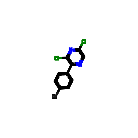 CCc1ccc(-c2ncc(Cl)nc2Cl)cc1